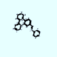 C(=Nc1ccccc1)c1ccc2c3ccccc3c3ccccc3c2c1